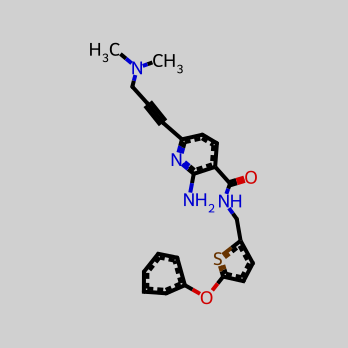 CN(C)CC#Cc1ccc(C(=O)NCc2ccc(Oc3ccccc3)s2)c(N)n1